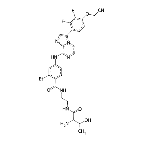 CCc1cc(Nc2nccn3c(-c4ccc(OCC#N)c(F)c4F)cnc23)ccc1C(=O)NCCNC(=O)C(N)[C@@H](C)O